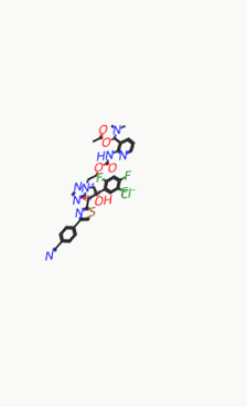 CC(=O)OC(c1cccnc1NC(=O)OCC[N+]1(C[C@](O)(c2cc(F)c(F)cc2F)[C@@H](C)c2nc(-c3ccc(C#N)cc3)cs2)C=NC=N1)N(C)C.[Cl-]